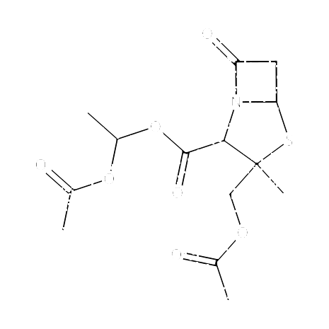 CC(=O)OCC1(C)SC2CC(=O)N2C1C(=O)OC(C)OC(C)=O